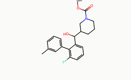 Cc1cccc(-c2c(F)cccc2C(O)C2CCCN(C(=O)OC(C)(C)C)C2)c1